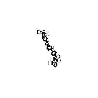 CCC(F)(CC)CN1CCC(COc2ccc(-c3ccc(C(=O)NC(=O)[C@@H]4CCCN4)cc3)nc2)CC1